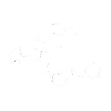 CC(=O)NC1(Nc2ccccc2)C(=O)N(c2ccccc2)N=C1NC(=O)c1cccc(C(=O)Nc2ccccc2)c1.CCNCC